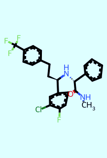 CNC(=O)[C@H](N[C@H](CCc1ccc(C(F)(F)F)cc1)c1ccc(F)c(Cl)c1)c1ccccc1